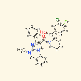 CN(Cc1ccccc1)c1ncc(C(=O)N2CCCCC2C(O)c2ccc(F)c(Cl)c2)c(-c2ccccc2)n1